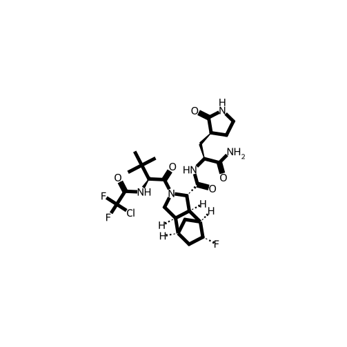 CC(C)(C)[C@H](NC(=O)C(F)(F)Cl)C(=O)N1C[C@@H]2[C@H]3C[C@@H]([C@@H]2[C@H]1C(=O)N[C@@H](C[C@@H]1CCNC1=O)C(N)=O)[C@H](F)C3